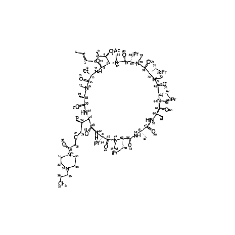 C/C=C/C[C@@H](C)[C@@H](OC(C)=O)[C@H]1C(=O)N[C@@H](CC)C(=O)N(C)[C@H](C)C(=O)N[C@@H]([C@H](C)COCC(=O)N2CCN(CCC(F)(F)F)CC2)C(=O)N[C@@H](C(C)C)C(=O)N(C)[C@@H](CC(C)C)C(=O)N[C@@H](C)C(=O)N[C@H](C)C(=O)N(C)[C@@H](CC(C)C)C(=O)N(C)[C@@H](CC(C)C)C(=O)N(C)[C@@H](C(C)C)C(=O)N1C